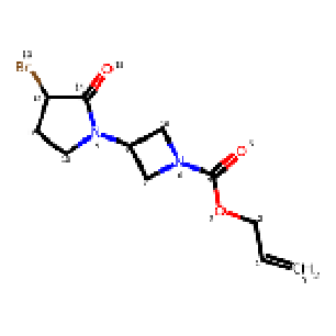 C=CCOC(=O)N1CC(N2CCC(Br)C2=O)C1